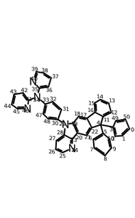 c1ccc(C2(c3ccccc3)c3ccccc3-c3cc4c(cc32)c2ncccc2n4-c2ccc(N(c3ccccn3)c3ccccn3)cc2)cc1